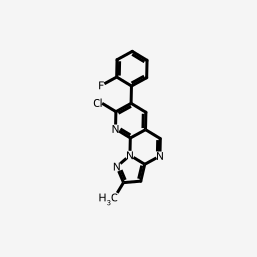 Cc1cc2ncc3cc(-c4ccccc4F)c(Cl)nc3n2n1